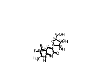 Cc1[nH]c2nc(=O)c([C@@H]3O[C@H](CO)C(O)[C@@H]3O)cc-2c(F)c1F